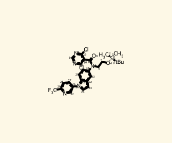 CC(C)(C)[Si](C)(C)OCCN(C(=O)c1c(Cl)ncnc1Cl)c1ccc2c(ccn2-c2ccc(C(F)(F)F)nc2)c1